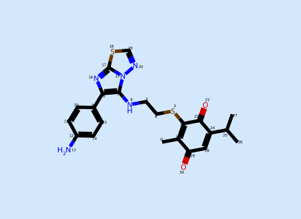 CC1=C(SCCNc2c(-c3ccc(N)cc3)nc3scnn23)C(=O)C(C(C)C)=CC1=O